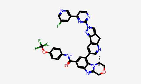 C[C@@H]1COCc2nc3cc(C(=O)Nc4ccc(OC(F)(F)Cl)cc4)cc(-c4cnc5c(c4)-c4nn(-c6nccc(-c7cncc(F)c7)n6)cc4C5)c3n21